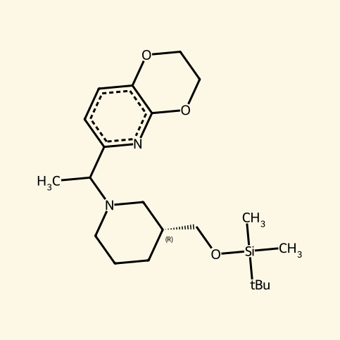 CC(c1ccc2c(n1)OCCO2)N1CCC[C@@H](CO[Si](C)(C)C(C)(C)C)C1